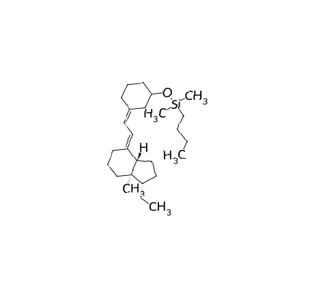 CCCC[Si](C)(C)OC1CCC/C(=C/C=C2\CCC[C@]3(C)[C@@H](CC)CC[C@@H]23)C1